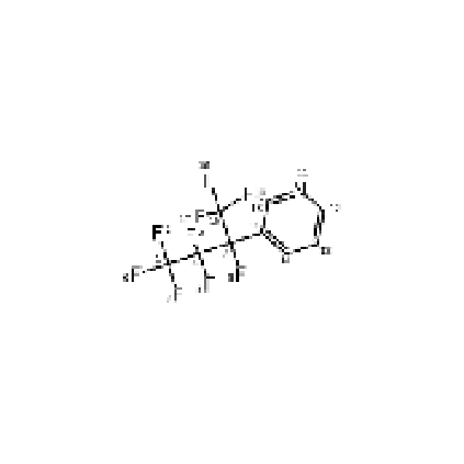 FC(F)(F)C(F)(F)C(F)(c1[c]nccc1)C(F)(F)F